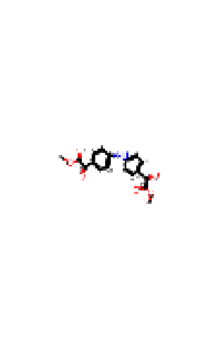 COC(=O)C(=O)c1ccc(Nc2ccc(C(=O)C(=O)OC)cc2)cc1